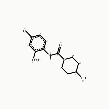 O=C(O)c1cc(Cl)ccc1NC(=O)N1CCC(O)CC1